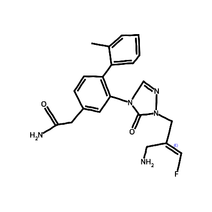 Cc1ccccc1-c1ccc(CC(N)=O)cc1-n1cnn(C/C(=C/F)CN)c1=O